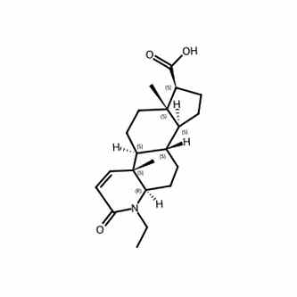 CCN1C(=O)C=C[C@]2(C)[C@H]3CC[C@]4(C)[C@@H](C(=O)O)CC[C@H]4[C@@H]3CC[C@@H]12